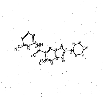 N#Cc1cccc(NC(=O)c2cc3oc(N4CCOCC4)nc3nc2Cl)n1